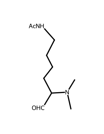 CC(=O)NCCCCC([13CH]=O)N(C)C